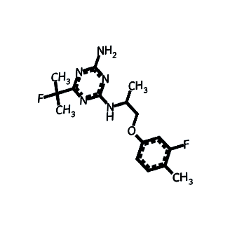 Cc1ccc(OCC(C)Nc2nc(N)nc(C(C)(C)F)n2)cc1F